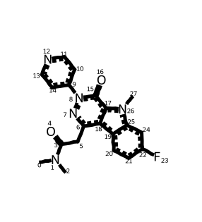 CN(C)C(=O)Cc1nn(-c2ccncc2)c(=O)c2c1c1ccc(F)cc1n2C